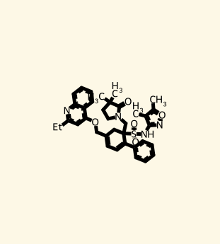 CCc1cc(OCC2=CC=C(c3ccccc3)C(CN3CCC(C)(C)C3=O)(S(=O)(=O)Nc3noc(C)c3C)C2)c2ccccc2n1